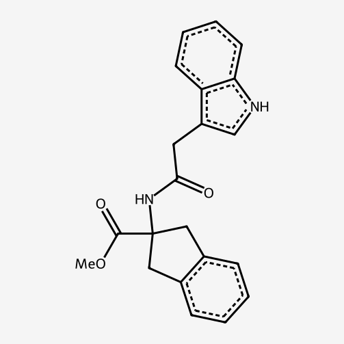 COC(=O)C1(NC(=O)Cc2c[nH]c3ccccc23)Cc2ccccc2C1